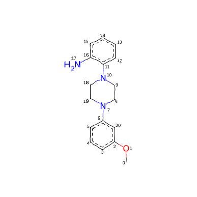 COc1cccc(N2CCN(c3ccccc3N)CC2)c1